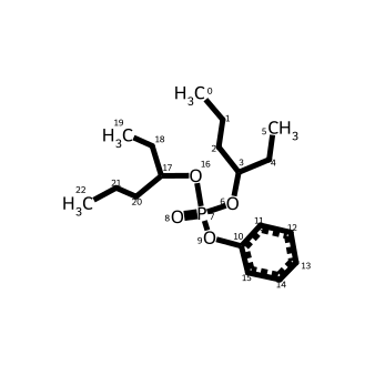 CCCC(CC)OP(=O)(Oc1ccccc1)OC(CC)CCC